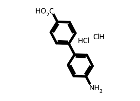 Cl.Cl.Nc1ccc(-c2ccc(C(=O)O)cc2)cc1